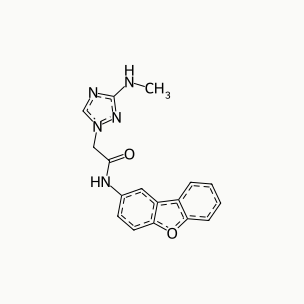 CNc1ncn(CC(=O)Nc2ccc3oc4ccccc4c3c2)n1